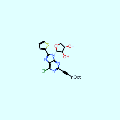 CCCCCCCCC#Cc1nc(Cl)c2nc(-c3cccs3)n([C@@H]3OC[C@@H](O)[C@H]3O)c2n1